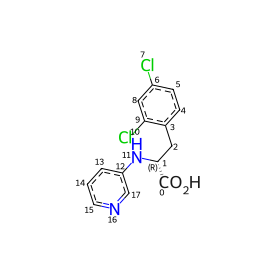 O=C(O)[C@@H](Cc1ccc(Cl)cc1Cl)Nc1cccnc1